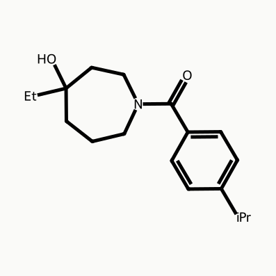 CCC1(O)CCCN(C(=O)c2ccc(C(C)C)cc2)CC1